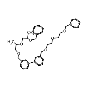 CC(COCc1cccc(-c2cccc(COCCOCCOCc3ccccc3)c2)c1)OCC(C)OCc1ccccc1